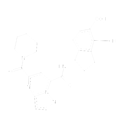 Cc1c(C(=O)O)ccc2c1CC[C@@H]2NC(=O)c1cc(C(=O)N2CCCCC2)nc2ccnn12